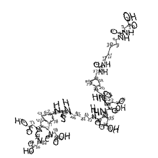 O=C(O)CNC(=O)NCCCCCNC(=O)NCc1ccc(CC(=O)N[C@@H](CC(=O)O)C(=O)N[C@@H](CC(=O)O)C(=O)NCCCCCNC(=S)Nc2ccc(CC3CN(CC(=O)O)CCN(CC(=O)O)CCN3CC(=O)O)cc2)cc1